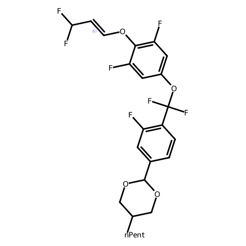 CCCCCC1COC(c2ccc(C(F)(F)Oc3cc(F)c(O/C=C/C(F)F)c(F)c3)c(F)c2)OC1